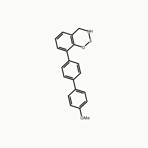 COc1ccc(-c2ccc(-c3cccc4c3OSNC4)cc2)cc1